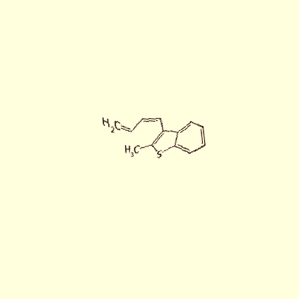 C=C/C=C\c1c(C)sc2ccccc12